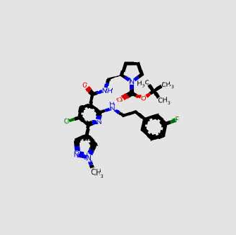 Cn1cc(-c2nc(NCCc3cccc(F)c3)c(C(=O)NC[C@H]3CCCN3C(=O)OC(C)(C)C)cc2Cl)cn1